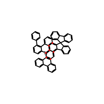 c1ccc(-c2ccccc2-c2c(-c3ccccc3)cccc2N(c2ccc3c(c2)-c2ccccc2C32c3ccccc3-c3ccccc32)c2cc3ccccc3c3ccccc23)cc1